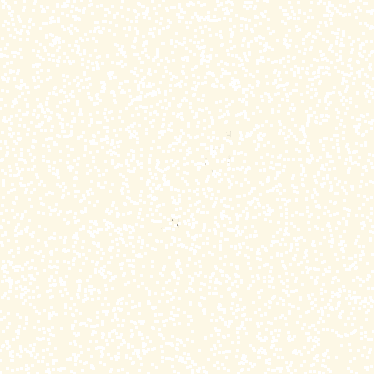 Brc1ccc(OCCCN2CCCC23CCCC3)cc1